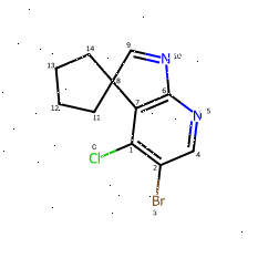 Clc1c(Br)cnc2c1C1(C=N2)CCCC1